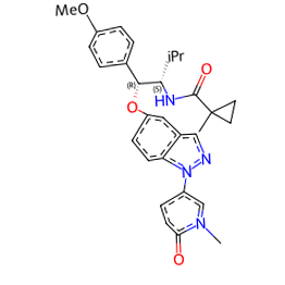 COc1ccc([C@@H](Oc2ccc3c(cnn3-c3ccc(=O)n(C)c3)c2)[C@@H](NC(=O)C2(C)CC2)C(C)C)cc1